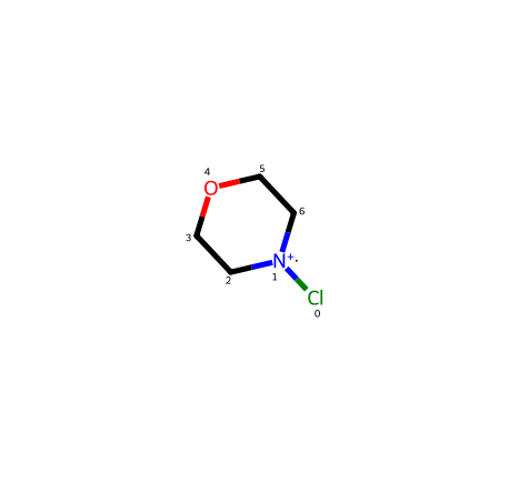 Cl[N+]1CCOCC1